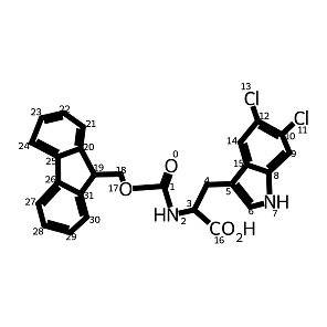 O=C(NC(Cc1c[nH]c2cc(Cl)c(Cl)cc12)C(=O)O)OCC1c2ccccc2-c2ccccc21